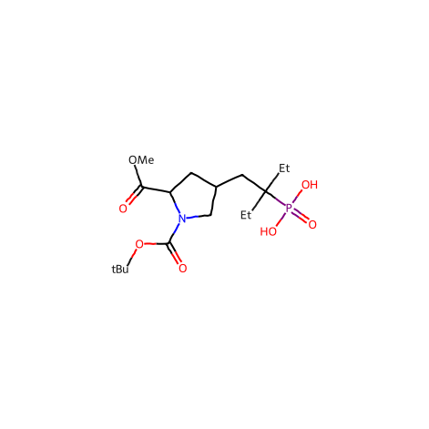 CCC(CC)(CC1CC(C(=O)OC)N(C(=O)OC(C)(C)C)C1)P(=O)(O)O